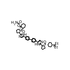 CCN(CC)[C@H]1CC[C@@H](C(=O)N2CCCC2c2ncc(-c3ccc(-c4ccc(-c5cnc(C6CCCN6C(=O)[C@H]6CCCC[C@@]6(C)OC(N)=O)[nH]5)cc4)cc3)[nH]2)CC1